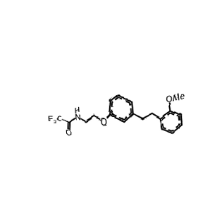 COc1ccccc1CCc1cccc(OCCNC(=O)C(F)(F)F)c1